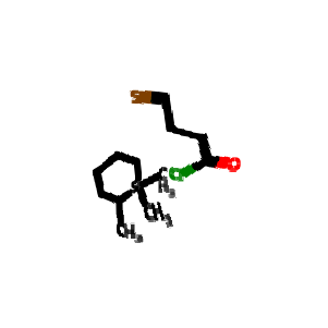 CC1CCCC[Si]1(C)C.O=C(Cl)CCC=S